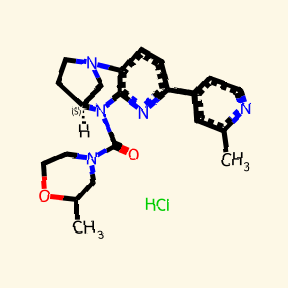 Cc1cc(-c2ccc3c(n2)N(C(=O)N2CCOC(C)C2)[C@H]2CCN3C2)ccn1.Cl